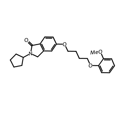 COc1ccccc1OCCCCOc1ccc2c(c1)CN(C1CCCC1)C2=O